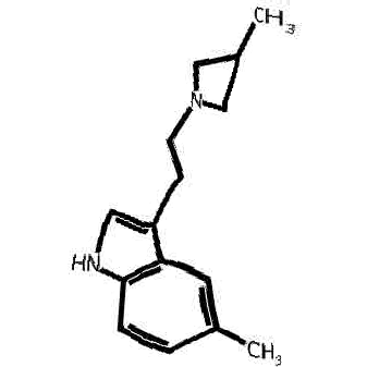 Cc1ccc2[nH]cc(CCN3CC(C)C3)c2c1